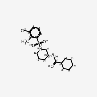 Cc1c(Cl)cccc1S(=O)(=O)N1CCC[C@@H](NC(=O)C2CCCCC2)C1